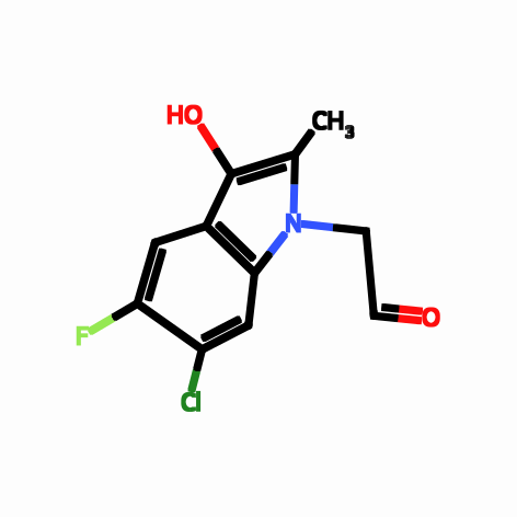 Cc1c(O)c2cc(F)c(Cl)cc2n1CC=O